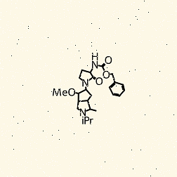 COC1C2CN(C(C)C)C(C)C2CC1N1CCC(NC(=O)OCc2ccccc2)C1=O